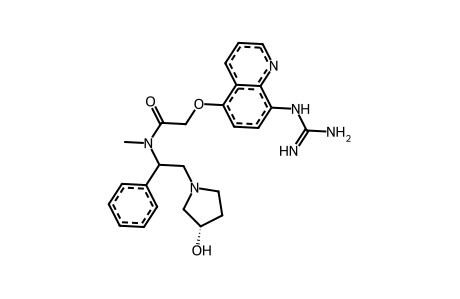 CN(C(=O)COc1ccc(NC(=N)N)c2ncccc12)C(CN1CC[C@H](O)C1)c1ccccc1